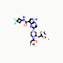 C=CC(=O)N1CCN(c2cnc3[nH]cc(C(=O)NC4CC(F)(F)C4)c3n2)C[C@@H]1CC(C)C